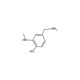 NCc1ccc(O)c(NI)c1